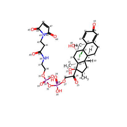 C[C@@H]1C[C@H]2[C@@H]3CCC4=CC(=O)C=C[C@]4(C)[C@@]3(F)[C@@H](O)C[C@]2(C)[C@@]1(O)C(=O)COP(=O)(O)OP(=O)(O)OCCNC(=O)CCN1C(=O)C=CC1=O